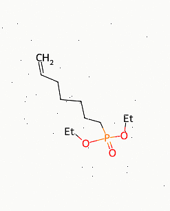 C=CCCCCCP(=O)(OCC)OCC